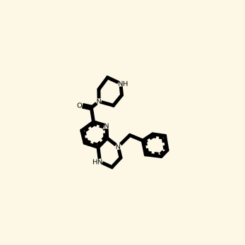 O=C(c1ccc2c(n1)N(Cc1ccccc1)CCN2)N1CCNCC1